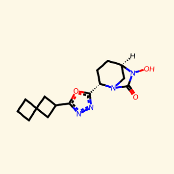 O=C1N(O)[C@@H]2CC[C@@H](c3nnc(C4CC5(CCC5)C4)o3)N1C2